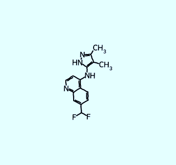 Cc1n[nH]c(Nc2ccnc3cc(C(F)F)ccc23)c1C